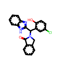 O=C1c2ccccc2CN1C(c1nc2ccccc2[nH]1)c1cc(Cl)ccc1O